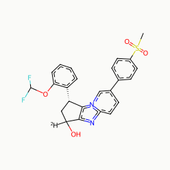 [2H]C1(O)C[C@H](c2ccccc2OC(F)F)c2c1nc1ccc(-c3ccc(S(C)(=O)=O)cc3)cn21